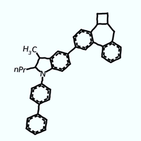 CCCC1C(C)c2cc(-c3ccc4c(c3)-c3ccccc3CC3CCC43)ccc2N1c1ccc(-c2ccccc2)cc1